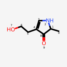 CC1NC=C(CCO)C1=O